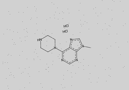 Cl.Cl.Cn1cnc2c(N3CCNCC3)ncnc21